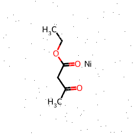 CCOC(=O)CC(C)=O.[Ni]